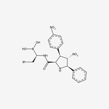 CC(C)C[C@H](NC(=O)[C@@H]1N[C@H](c2ccccc2)[C@@H]([N+](=O)[O-])[C@@H]1c1ccc([N+](=O)[O-])cc1)B(O)O